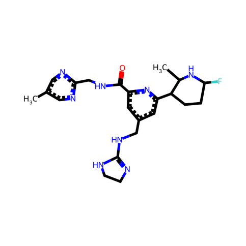 Cc1cnc(CNC(=O)c2cc(CNC3=NCCN3)cc(C3CCC(F)NC3C)n2)nc1